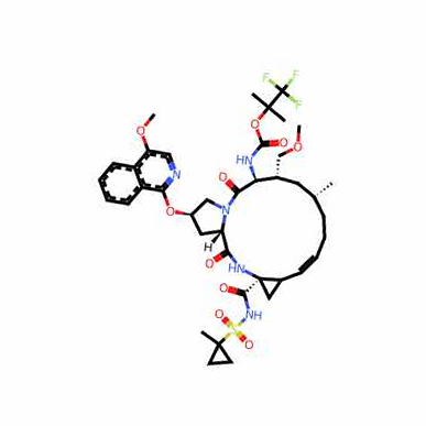 COC[C@@H]1C[C@H](C)CC/C=C\C2C[C@@]2(C(=O)NS(=O)(=O)C2(C)CC2)NC(=O)[C@@H]2C[C@@H](Oc3ncc(OC)c4ccccc34)CN2C(=O)[C@H]1NC(=O)OC(C)(C)C(F)(F)F